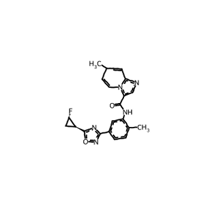 Cc1ccc(-c2noc([C@H]3C[C@@H]3F)n2)cc1NC(=O)c1cnc2n1C=CC(C)C=C2